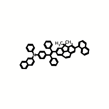 CC1(C)c2cc(/C(=C(\c3ccccc3)c3ccc(N(c4ccccc4)c4ccc5ccccc5c4)cc3)c3ccccc3)cc3ccc4cc(-c5cccc6ccccc56)cc1c4c23